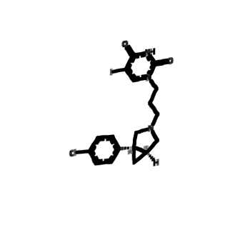 O=c1[nH]c(=O)n(CCCN2C[C@H]3C[C@@]3(c3ccc(Cl)cc3)C2)cc1I